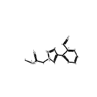 CNC(=O)Cn1cc(-c2ccccc2C=O)cn1